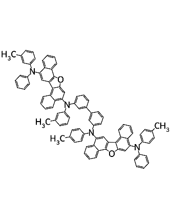 Cc1ccc(N(c2cccc(-c3cccc(N(c4cccc(C)c4)c4cc5oc6c7ccccc7c(N(c7ccccc7)c7cccc(C)c7)cc6c5c5ccccc45)c3)c2)c2cc3c(oc4cc(N(c5ccccc5)c5ccc(C)cc5)c5ccccc5c43)c3ccccc23)cc1